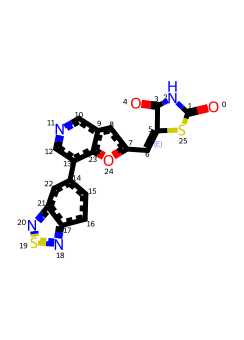 O=C1NC(=O)/C(=C\c2cc3cncc(-c4ccc5nsnc5c4)c3o2)S1